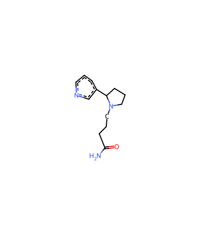 NC(=O)CCCN1CCCC1c1cccnc1